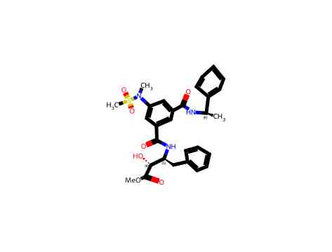 COC(=O)[C@H](O)[C@H](Cc1ccccc1)NC(=O)c1cc(C(=O)N[C@H](C)c2ccccc2)cc(N(C)S(C)(=O)=O)c1